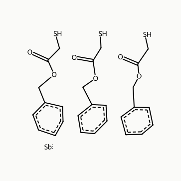 O=C(CS)OCc1ccccc1.O=C(CS)OCc1ccccc1.O=C(CS)OCc1ccccc1.[Sb]